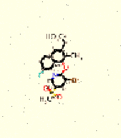 Cc1c(CC(=O)O)cc2ccc(F)cc2c1Oc1ncc(S(C)(=O)=O)cc1Br